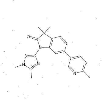 Cc1ncc(-c2ccc3c(c2)N(c2nc(C)n(C)n2)C(=O)C3(C)C)cn1